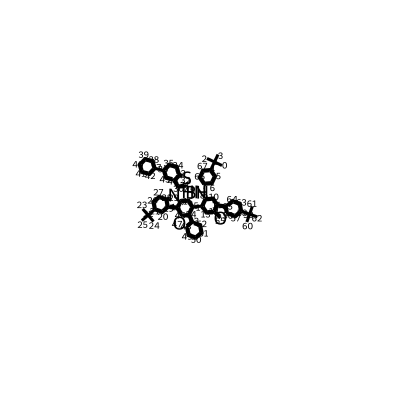 CC(C)(C)c1ccc(Nc2cc3c(cc2-c2c4c5c(c6cc(C(C)(C)C)ccc6n5-c5c(sc6ccc(-c7ccccc7)cc56)B4)c4oc5ccccc5c24)oc2cc(C(C)(C)C)ccc23)cc1